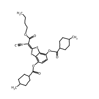 [C-]#[N+]C(C(=O)OCCCC)=C1Sc2c(OC(=O)C3CCC(C)CC3)ccc(OC(=O)C3CCC(C)CC3)c2S1